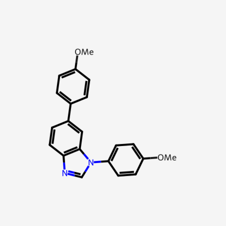 COc1ccc(-c2ccc3ncn(-c4ccc(OC)cc4)c3c2)cc1